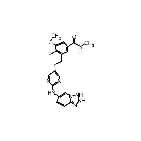 CNC(=O)c1cc(CCc2cnc(NC3=CN4NNN=C4C=C3)nc2)c(F)c(OC)c1